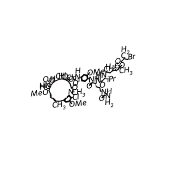 C=C(CBr)C(=O)OC(C)(C)CCCC(C=O)N[C@H](C(=O)N[C@@H](CCCNC(N)=O)C(=O)Nc1ccc(NC(=O)O[C@H]2CC(=O)N(C)c3cc(cc(OC)c3Cl)C/C(C)=C/C=C/[C@@H](OC)[C@@]3(O)C[C@H](OC(=O)N3)[C@@H](C)[C@@H]3O[C@@]23C)cc1OC)C(C)C